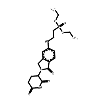 CCOP(=O)(CCNc1ccc2c(c1)CN(C1CCC(=O)NC1=O)C2=O)OCC